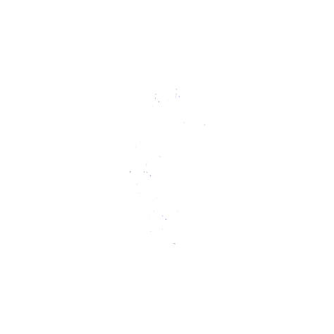 CC(Oc1cc(Cl)cnc1N)c1cccc(NC(=O)c2ccc3c(c2)N(C)C(=O)C3)c1